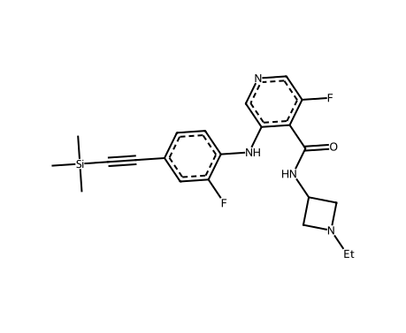 CCN1CC(NC(=O)c2c(F)cncc2Nc2ccc(C#C[Si](C)(C)C)cc2F)C1